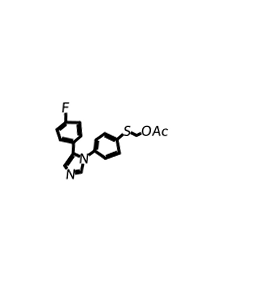 CC(=O)OCSc1ccc(-n2cncc2-c2ccc(F)cc2)cc1